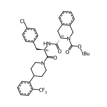 CC(C)(C)OC(=O)N1Cc2ccccc2C[C@H]1C(=O)N[C@H](Cc1ccc(Cl)cc1)C(=O)N1CCC(c2ccccc2C(F)(F)F)CC1